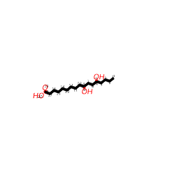 CCCCC(O)CCC(O)CCCCCCCCC(=O)O